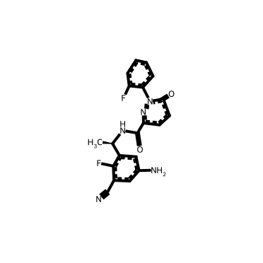 C[C@@H](NC(=O)c1ccc(=O)n(-c2ccccc2F)n1)c1cc(N)cc(C#N)c1F